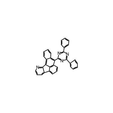 c1ccc(-c2nc(-c3ccccc3)nc(-c3c4ccccc4c4c5c(cccc35)-c3cccnc3-4)n2)cc1